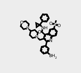 Bc1cccc(-c2nc3ccc(S(C)(=O)=O)cc3c(C(=O)NC3(c4ccccc4)CC3)c2CN2CCC(N3CCOCC3)CC2)c1